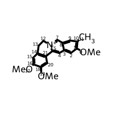 COc1cc2cc3[n+](cc2cc1C)CCc1cc(OC)c(OC)cc1-3